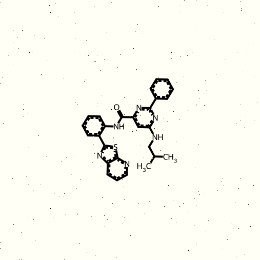 CC(C)CNc1cc(C(=O)Nc2ccccc2-c2nc3cccnc3s2)nc(-c2ccccc2)n1